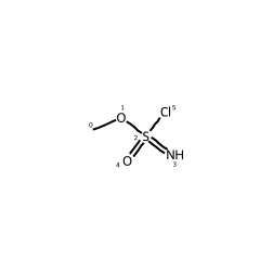 COS(=N)(=O)Cl